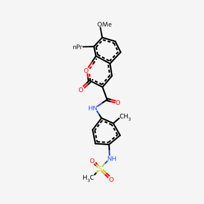 CCCc1c(OC)ccc2cc(C(=O)Nc3ccc(NS(C)(=O)=O)cc3C)c(=O)oc12